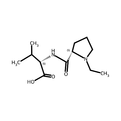 CCN1CCC[C@H]1C(=O)N[C@H](C(=O)O)C(C)C